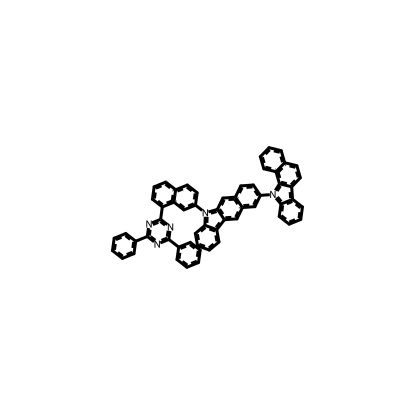 c1ccc(-c2nc(-c3ccccc3)nc(-c3cccc4ccc(-n5c6ccccc6c6cc7cc(-n8c9ccccc9c9ccc%10ccccc%10c98)ccc7cc65)cc34)n2)cc1